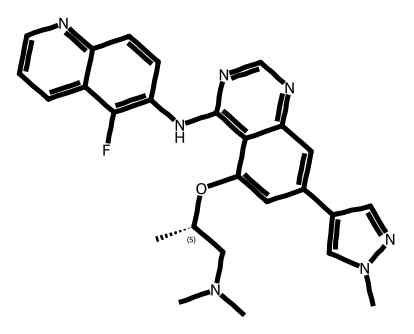 C[C@@H](CN(C)C)Oc1cc(-c2cnn(C)c2)cc2ncnc(Nc3ccc4ncccc4c3F)c12